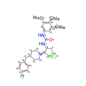 COc1cc(NC(=O)NC2CCCC2N2CCC(Cc3ccc(Cl)cc3)CC2)cc(OC)c1OC.Cl